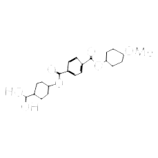 COC1CCC(OC(=O)c2ccc(C(=O)OC3CCC(C(O)O)CC3)cc2)CC1